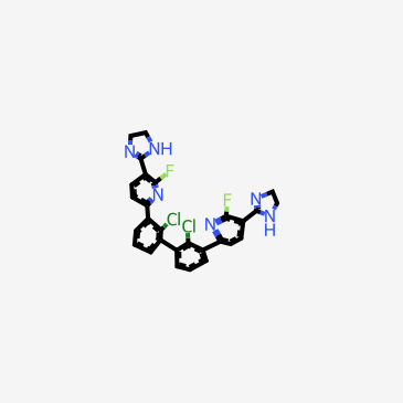 Fc1nc(-c2cccc(-c3cccc(-c4ccc(C5=NCCN5)c(F)n4)c3Cl)c2Cl)ccc1C1=NCCN1